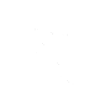 CCc1nc(-n2c(C)ccc2C)ccc1-c1c(F)ccc2cc(N)cnc12